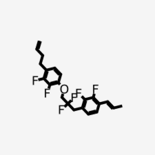 C=CCCc1ccc(OCC(F)(F)Cc2ccc(/C=C/C)c(F)c2F)c(F)c1F